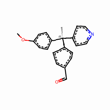 COc1ccc([C@@](C)(c2ccncc2)c2ccc(C=O)cc2)cc1